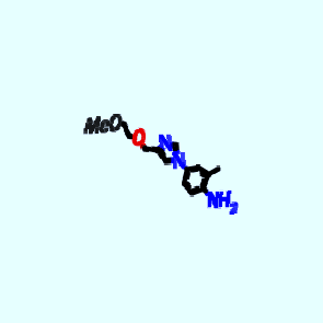 COCCOCc1cn(-c2ccc(N)c(C)c2)cn1